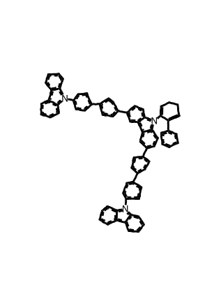 C1=C(c2ccccc2)C(n2c3ccc(-c4ccc(-c5ccc(-n6c7ccccc7c7ccccc76)cc5)cc4)cc3c3cc(-c4ccc(-c5ccc(-n6c7ccccc7c7ccccc76)cc5)cc4)ccc32)=CCC1